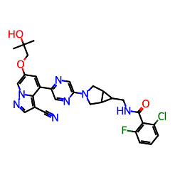 CC(C)(O)COc1cc(-c2cnc(N3CC4C(CNC(=O)c5c(F)cccc5Cl)C4C3)cn2)c2c(C#N)cnn2c1